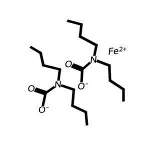 CCCCN(CCCC)C(=O)[O-].CCCCN(CCCC)C(=O)[O-].[Fe+2]